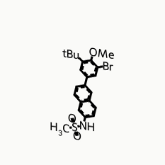 COc1c(Br)cc(-c2ccc3cc(NS(C)(=O)=O)ccc3c2)cc1C(C)(C)C